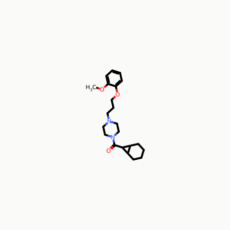 COc1ccccc1OCCCN1CCN(C(=O)C2C3CCCCC32)CC1